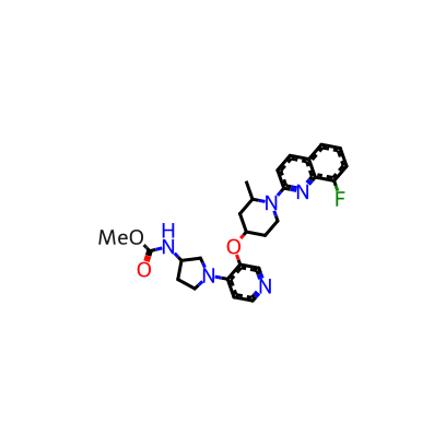 COC(=O)NC1CCN(c2ccncc2OC2CCN(c3ccc4cccc(F)c4n3)C(C)C2)C1